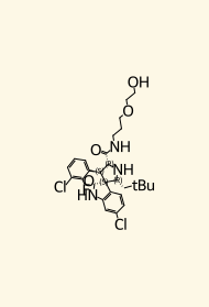 CC(C)(C)C[C@H]1N[C@@H](C(=O)NCCCOCCO)[C@H](c2cccc(Cl)c2F)[C@@]12C(=O)Nc1cc(Cl)ccc12